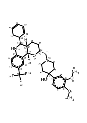 COc1ccc(C2(O)CCN(C[C@H]3CC[C@@H]4[C@H](O3)c3cc(C(F)(F)F)ccc3N[C@H]4C3C=CC=CC3)CC2)cc1OC